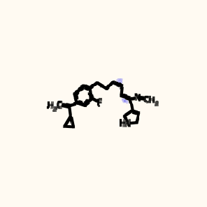 C=N/C(=C\C=C/CCc1ccc(C(=C)C2CC2)cc1F)C1=CCNC1